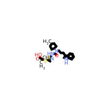 CC1CCC(N(CCCc2c[nH]c3ccccc23)C(=O)Nc2ncc(SC(C)(C)C(=O)O)s2)CC1